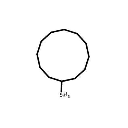 [SiH3]C1CCCCCCCCCCC1